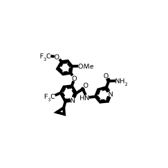 COc1cc(OC(F)(F)F)ccc1Oc1cc(C(F)(F)F)c(C2CC2)nc1C(=O)Nc1ccnc(C(N)=O)c1